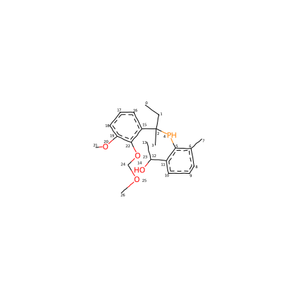 CCC(C)(Pc1c(C)cccc1C(C)O)c1cccc(OC)c1OCOC